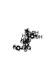 COCC1(C(=O)OCc2ccc(OC)cc2)CS[C@@H]2C(NC(=O)C(NC(=O)OC(C)(C)C)c3ccc(CO)c(O)c3)C(=O)N2C1